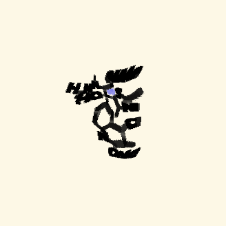 CN/C=C(\N(C)N)C(O)(c1ccc2nc(OC)c(C)c(Cl)c2c1)c1sc(C)nc1C